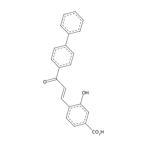 O=C(O)c1ccc(C=CC(=O)c2ccc(-c3ccccc3)cc2)c(O)c1